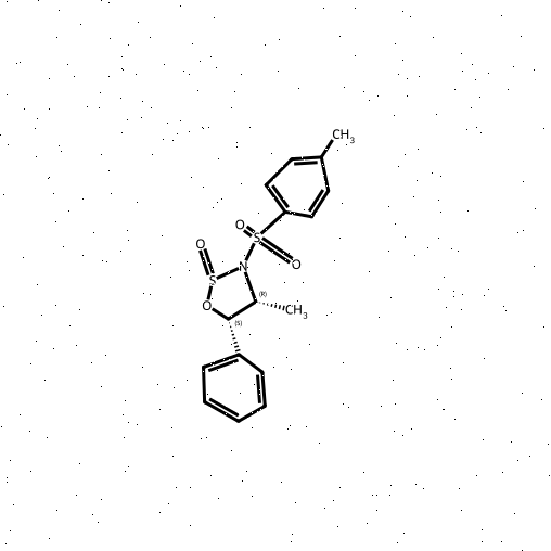 Cc1ccc(S(=O)(=O)N2[C@H](C)[C@H](c3ccccc3)OS2=O)cc1